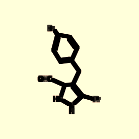 CC(C)C1=C(Cc2ccc(Br)cc2)C(C=O)NN1